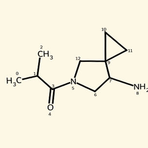 CC(C)C(=O)N1CC(N)C2(CC2)C1